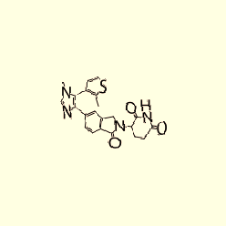 Cc1sccc1-c1c(-c2ccc3c(c2)CN(C2CCC(=O)NC2=O)C3=O)ncn1C